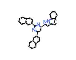 c1ccc2cc(-c3cc(-c4cc5ccc6ccccc6n5n4)nc(-c4ccc5ccccc5c4)n3)ccc2c1